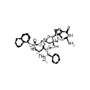 C[C@H](NP(=O)(OC[C@H]1OC(n2cnc3c(=O)[nH]c(N)nc32)[C@](C)(O)[C@@H]1O)Oc1cccc2ccccc12)C(=O)O[C@@H](C)c1ccccc1